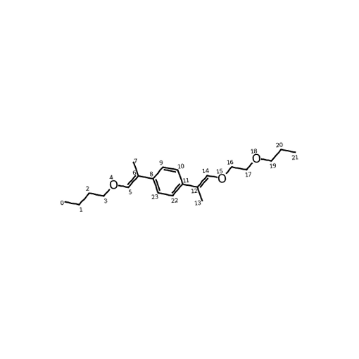 CCCCOC=C(C)c1ccc(C(C)=COCCOCCC)cc1